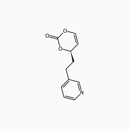 O=C1OC=C[C@@H](CCc2cccnc2)O1